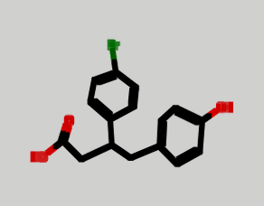 O=C(O)CC(Cc1ccc(O)cc1)c1ccc(Br)cc1